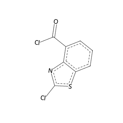 O=C(Cl)c1cccc2sc(Cl)nc12